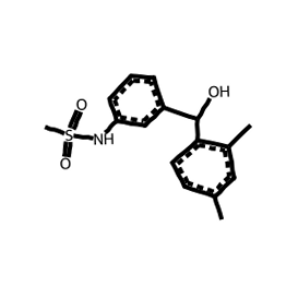 Cc1ccc(C(O)c2cccc(NS(C)(=O)=O)c2)c(C)c1